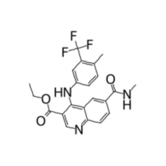 CCOC(=O)c1cnc2ccc(C(=O)NC)cc2c1Nc1ccc(C)c(C(F)(F)F)c1